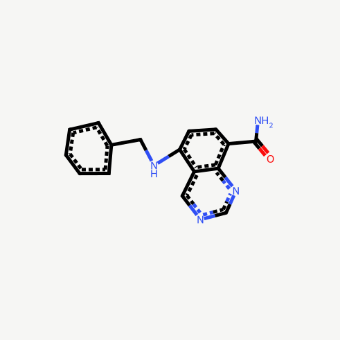 NC(=O)c1ccc(NCc2ccccc2)c2cncnc12